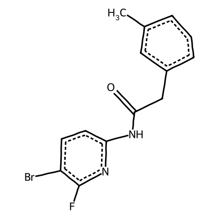 Cc1cccc(CC(=O)Nc2ccc(Br)c(F)n2)c1